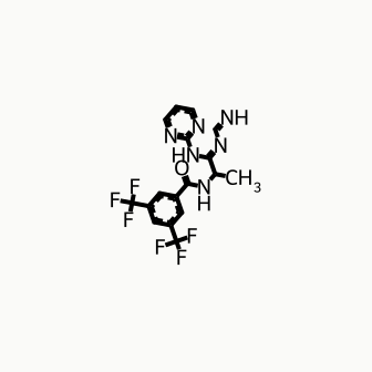 CC(NC(=O)c1cc(C(F)(F)F)cc(C(F)(F)F)c1)/C(=N/C=N)Nc1ncccn1